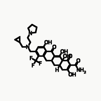 NC(=O)C1=C(O)C[C@@H]2CC3Cc4c(c(O)cc(CN(CCN5CCCC5)CC5CC5)c4C(F)(F)F)C(=O)C3=C(O)[C@]2(O)C1=O